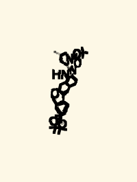 C[C@H]1C[C@@H](c2nc3ccc4cc5c(cc4c3[nH]2)OCc2cc(B3OC(C)(C)C(C)(C)O3)ccc2-5)N(C(=O)OC(C)(C)C)C1